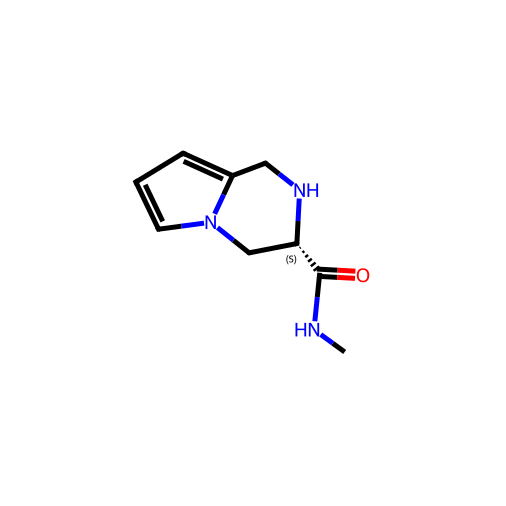 CNC(=O)[C@@H]1Cn2cccc2CN1